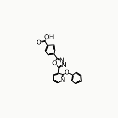 O=C(O)c1ccc(-c2nnc(-c3cccnc3Oc3ccccc3)o2)cc1